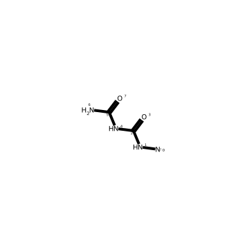 [N]NC(=O)NC(N)=O